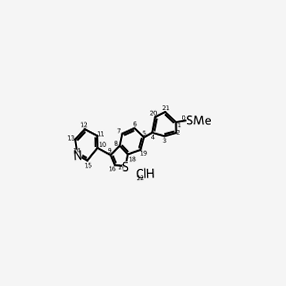 CSc1ccc(-c2ccc3c(-c4cccnc4)csc3c2)cc1.Cl